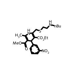 CCCCNCCSCC1=C(C(=O)OCC)C(c2cccc([N+](=O)[O-])c2)C(C(=O)OC)=C(C)N1